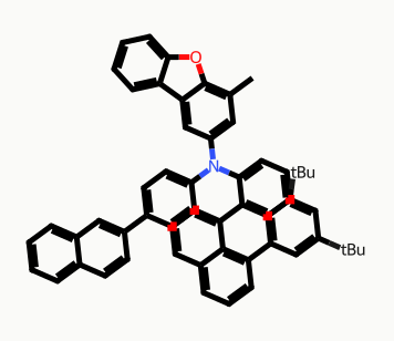 Cc1cc(N(c2ccc(-c3ccc4ccccc4c3)cc2)c2ccccc2-c2cccc3cccc(-c4cc(C(C)(C)C)cc(C(C)(C)C)c4)c23)cc2c1oc1ccccc12